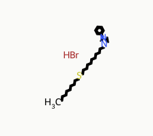 Br.CCCCCCCCCCSCCCCCCCCCCCN1C=CN(c2ccccc2)C1